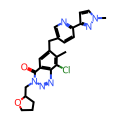 Cc1c(Cc2ccc(-c3ccn(C)n3)nc2)cc2c(=O)n(CC3CCCO3)nnc2c1Cl